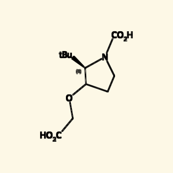 CC(C)(C)[C@@H]1C(OCC(=O)O)CCN1C(=O)O